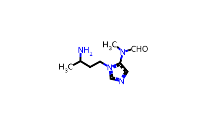 CC(N)CCn1cncc1N(C)C=O